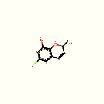 Fc1cc(Br)c2c(c1)C=CC(C(F)(F)F)O2